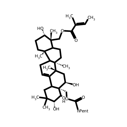 C/C=C(\C)C(=O)OC[C@]1(C)C2CC[C@]3(C)C(CC=C4C5CC(C)(C)[C@@H](O)[C@H](O)[C@]5(COC(=O)CCCCC)[C@H](O)C[C@]43C)[C@@]2(C)CC[C@@H]1O